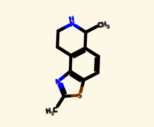 Cc1nc2c3c(ccc2s1)C(C)NCC3